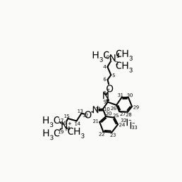 C[N+](C)(C)CCCO/N=C(/C(=N/OCCC[N+](C)(C)C)c1ccccc1)c1ccccc1.[I-].[I-]